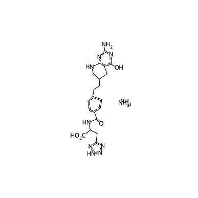 N.N.Nc1nc(O)c2c(n1)NCC(CCc1ccc(C(=O)NC(Cc3nn[nH]n3)C(=O)O)cc1)C2